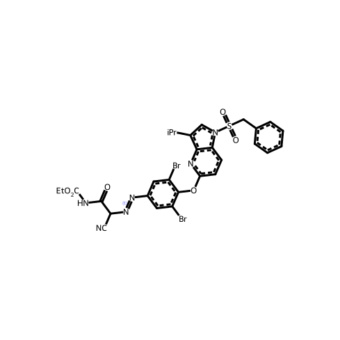 CCOC(=O)NC(=O)C(C#N)/N=N/c1cc(Br)c(Oc2ccc3c(n2)c(C(C)C)cn3S(=O)(=O)Cc2ccccc2)c(Br)c1